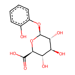 O=C(O)[C@H]1O[C@@H](Oc2ccccc2O)[C@H](O)[C@@H](O)[C@@H]1O